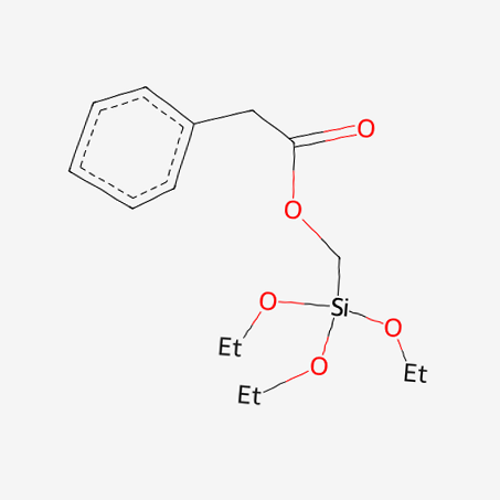 CCO[Si](COC(=O)Cc1ccccc1)(OCC)OCC